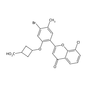 Cc1cc(-c2cc(=O)c3cccc(Cl)c3o2)c(OC2CC(C(=O)O)C2)cc1Br